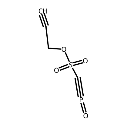 C#CCOS(=O)(=O)C#P=O